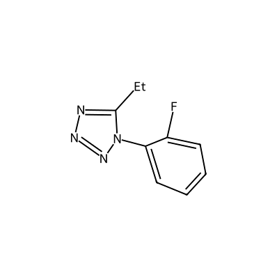 [CH2]Cc1nnnn1-c1ccccc1F